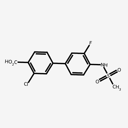 CS(=O)(=O)Nc1ccc(-c2ccc(C(=O)O)c(Cl)c2)cc1F